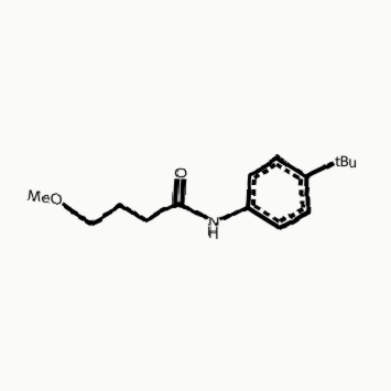 COCCCC(=O)Nc1ccc(C(C)(C)C)cc1